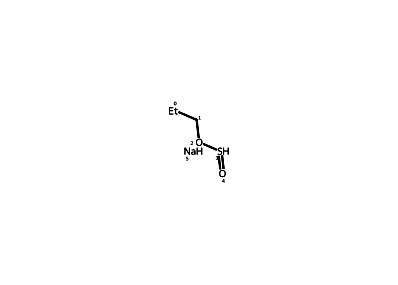 CCCO[SH]=O.[NaH]